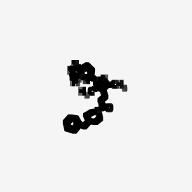 Cc1nn(-c2ccc3nnc(C(C)C)n3n2)c(C)c1CCC(=O)N1CCC(Cc2ccccc2)CC1